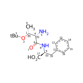 C[C@@H](OC(C)(C)C)[C@H](N)C(=O)N[C@@H](Cc1ccccc1)C(=O)O